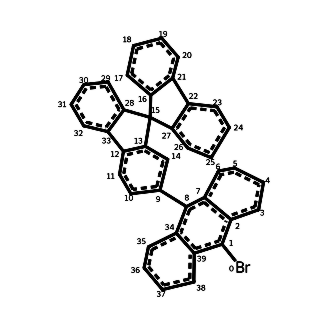 Brc1c2ccccc2c(-c2ccc3c(c2)C2(c4ccccc4-c4ccccc42)c2ccccc2-3)c2ccccc12